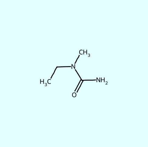 CCN(C)C(N)=O